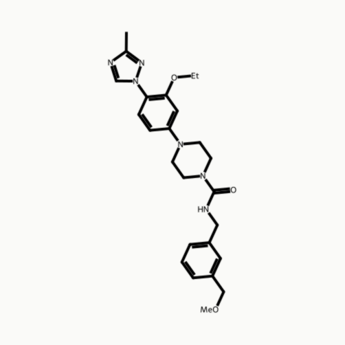 CCOc1cc(N2CCN(C(=O)NCc3cccc(COC)c3)CC2)ccc1-n1cnc(C)n1